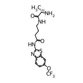 C[C@H](N)C(=O)NCCCC(=O)Nc1nc2ccc(OC(F)(F)F)cc2s1